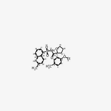 CCOc1ccc(C)cc1[C@@]1(C(=O)NS(=O)(=O)c2cccc3nc(C)ccc23)CCCO1